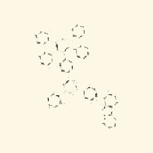 C1=C(c2ccc(C3=C(c4ccccc4)C(c4ccccc4)NC(c4ccccc4)=C3c3ccccc3)cc2)N=C(c2ccc(-c3cccc4c3oc3ccccc34)cc2)NC1c1ccccc1